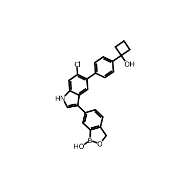 OB1OCc2ccc(-c3c[nH]c4cc(Cl)c(-c5ccc(C6(O)CCC6)cc5)cc34)cc21